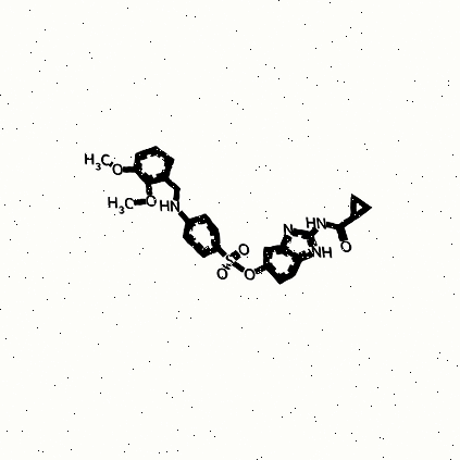 COc1cccc(CNc2ccc(S(=O)(=O)Oc3ccc4[nH]c(NC(=O)C5CC5)nc4c3)cc2)c1OC